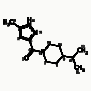 Cc1cc(C(=O)N2CCC(C(C)C)CC2)n[nH]1